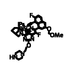 COCOc1cc(-c2ncc3c(N4CC5CCC(C5)C4)nc(OCCN4CCNCC4)nc3c2F)c2c(C#C[Si](C(C)C)(C(C)C)C(C)C)c(F)ccc2c1